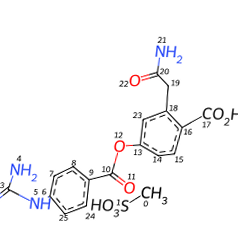 CS(=O)(=O)O.N=C(N)Nc1ccc(C(=O)Oc2ccc(C(=O)O)c(CC(N)=O)c2)cc1